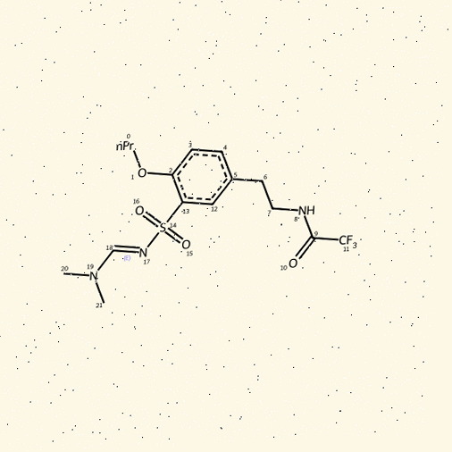 CCCOc1ccc(CCNC(=O)C(F)(F)F)cc1S(=O)(=O)/N=C/N(C)C